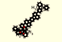 CC12CCCCC1(C)c1cc(-c3ccc4c5cc6c(cc5c5cccc3c54)c3ccc(-c4ccc5c(c4)C4(C)CCCCC4(C)B5c4ccccc4)c4c(-c5ccc7c(c5)C5(C)CCCCC5(C)B7c5ccccc5)ccc6c43)ccc1B2c1ccccc1